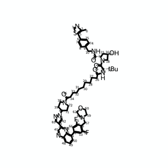 Cc1ncsc1-c1ccc(CNC(=O)[C@@H]2C[C@@H](O)CN2C(=O)[C@@H](NC(=O)CCCCCCCCCC(=O)N2CCC(n3cc(-c4cnc5cccc(-c6cc(F)c(CN7CCOCC7)c(F)c6)c5n4)cn3)CC2)C(C)(C)C)cc1